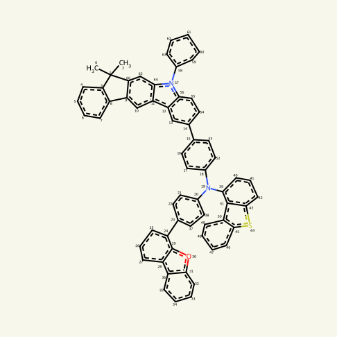 CC1(C)c2ccccc2-c2cc3c4cc(-c5ccc(N(c6ccc(-c7cccc8c7oc7ccccc78)cc6)c6cccc7sc8ccccc8c67)cc5)ccc4n(-c4ccccc4)c3cc21